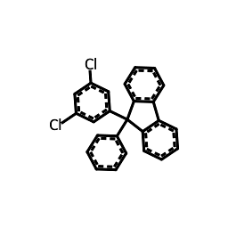 Clc1cc(Cl)cc(C2(c3ccccc3)c3ccccc3-c3ccccc32)c1